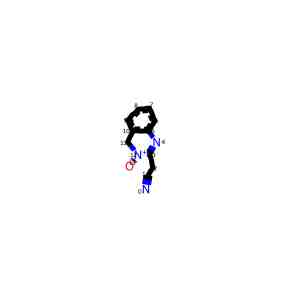 N#CCC1=Nc2ccccc2C[N+]1=O